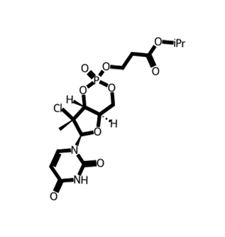 CC(C)OC(=O)CCOP1(=O)OC[C@H]2O[C@@H](n3ccc(=O)[nH]c3=O)[C@](C)(Cl)[C@@H]2O1